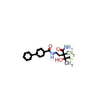 CC(CCNC(=O)c1ccc(-c2ccccc2)cc1)(C(N)=O)C(C)(O)C(F)F